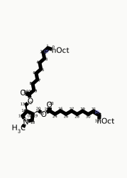 CCCCCCCC/C=C\CCCCCCCC(=O)OC[C@@H]1CN(C)C[C@H]1COC(=O)CCCCCCC/C=C\CCCCCCCC